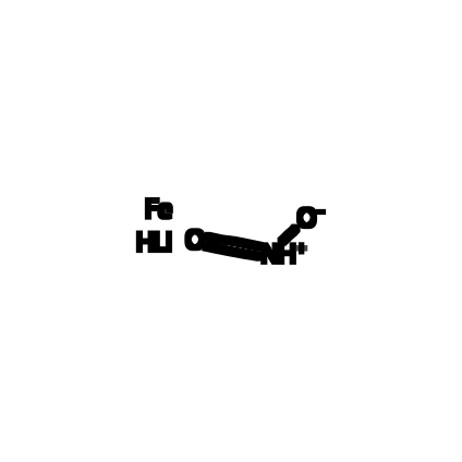 O=[NH+][O-].[Fe].[LiH]